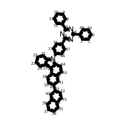 c1ccc(-c2nc(-c3ccccc3)nc(-c3ccc(-n4c5ccccc5c5c6ccc(-c7ccc8ccccc8c7)cc6ccc54)cc3)n2)cc1